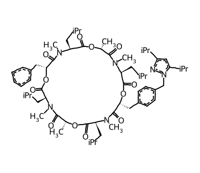 CC(C)C[C@H]1C(=O)O[C@H](Cc2ccc(Cn3nc(C(C)C)cc3C(C)C)cc2)C(=O)N(C)[C@@H](CC(C)C)C(=O)O[C@H](C)C(=O)N(C)[C@@H](CC(C)C)C(=O)O[C@H](Cc2ccccc2)C(=O)N(C)[C@@H](CC(C)C)C(=O)O[C@H](C)C(=O)N1C